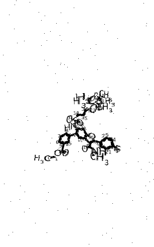 CCOC(=O)c1cccc(-c2cc3c(C(=O)NC)c(-c4ccc(F)cc4)oc3cc2NS(=O)(=O)CCCO[Si](C)(C)C(C)(C)C)c1